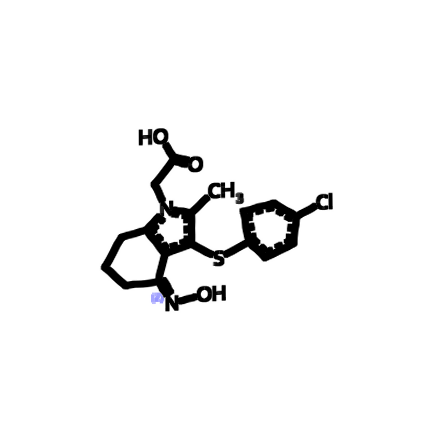 Cc1c(Sc2ccc(Cl)cc2)c2c(n1CC(=O)O)CCC/C2=N/O